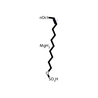 CCCCCCCC/C=C\CCCCCCCCOS(=O)(=O)O.[MgH2]